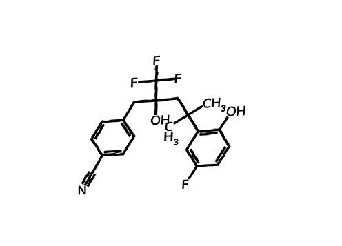 CC(C)(CC(O)(Cc1ccc(C#N)cc1)C(F)(F)F)c1cc(F)ccc1O